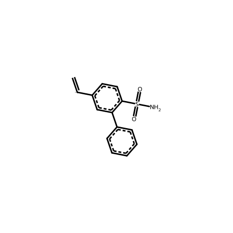 C=[C]c1ccc(S(N)(=O)=O)c(-c2ccccc2)c1